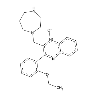 CCOc1ccccc1-c1nc2ccccc2[n+]([O-])c1CN1CCCNCC1